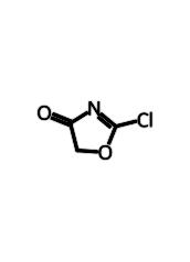 O=C1COC(Cl)=N1